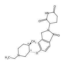 CCN1CC[C@@H](C)[C@H](Oc2ccc3c(c2)CN(C2CCC(=O)NC2=O)C3=O)C1